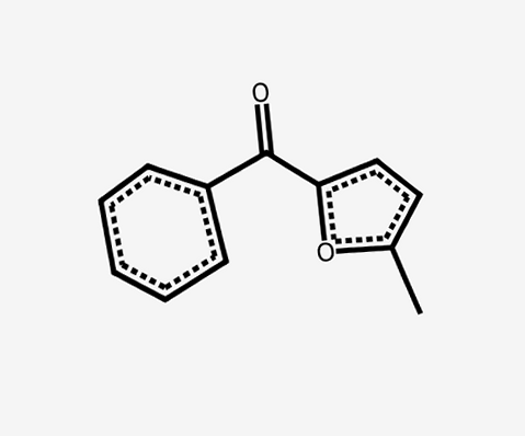 Cc1ccc(C(=O)c2ccccc2)o1